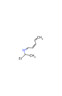 C=C/C=C\C=N/C(C)CC